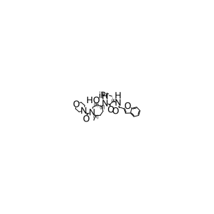 CC(C)C[C@H](NC(=O)c1cc2ccccc2o1)C(=O)N[C@H]1CC[C@@H](C)N(C(=O)N2CCOCC2)C[C@@H]1O